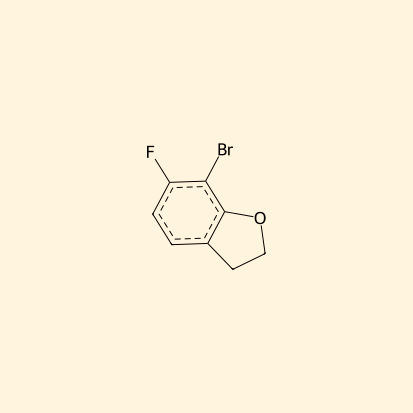 Fc1ccc2c(c1Br)OCC2